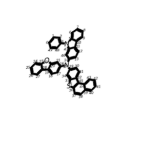 c1ccc(-n2c3ccccc3c3ccc(N(c4ccc5c(c4)oc4ccccc45)c4ccc5c(c4)sc4ccc6ccccc6c45)cc32)cc1